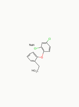 O=C(O)Cc1ccccc1Oc1ccc(Cl)cc1Cl.[NaH]